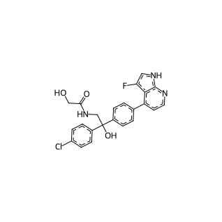 O=C(CO)NCC(O)(c1ccc(Cl)cc1)c1ccc(-c2ccnc3[nH]cc(F)c23)cc1